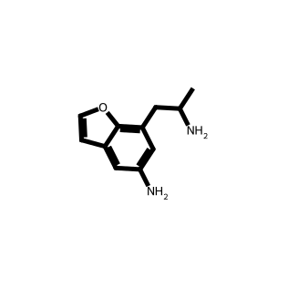 CC(N)Cc1cc(N)cc2ccoc12